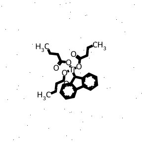 CCCC(=O)[O][Ti]([O]C(=O)CCC)([O]C(=O)CCC)[CH]1c2ccccc2-c2ccccc21